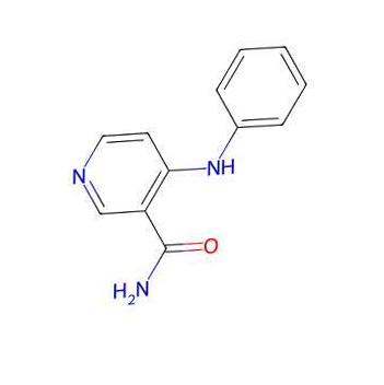 NC(=O)c1cnccc1Nc1ccccc1